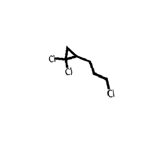 ClCCC[C]1CC1(Cl)Cl